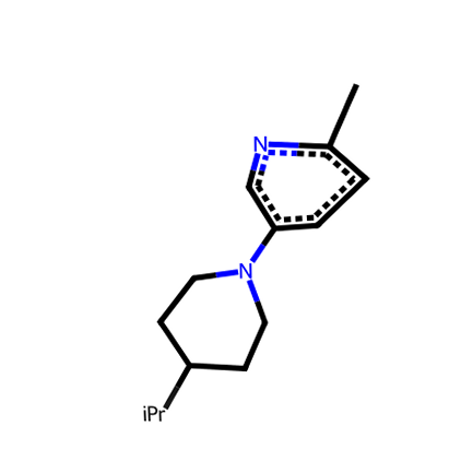 Cc1ccc(N2CCC(C(C)C)CC2)cn1